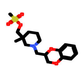 CC1(COS(C)(=O)=O)CCCN(CC2COc3ccccc3O2)C1